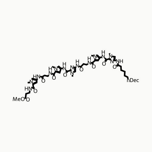 CCCCCCCCCCCCCCCC(=O)Nc1cn(C)c(C(=O)Nc2cc(C(=O)NCCC(=O)Nc3cn(C)c(C(=O)Nc4cc(C(=O)NCCC(=O)Nc5cc(C(=O)NCCC(=O)OC)n(C)c5)n(C)c4)n3)n(C)c2)n1